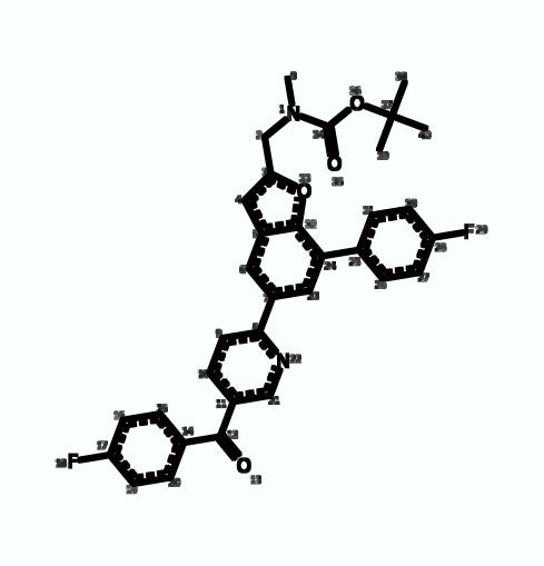 CN(Cc1cc2cc(-c3ccc(C(=O)c4ccc(F)cc4)cn3)cc(-c3ccc(F)cc3)c2o1)C(=O)OC(C)(C)C